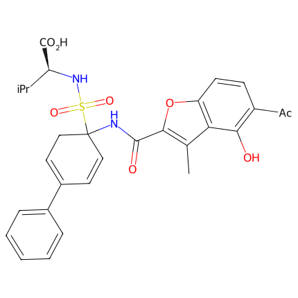 CC(=O)c1ccc2oc(C(=O)NC3(S(=O)(=O)N[C@H](C(=O)O)C(C)C)C=CC(c4ccccc4)=CC3)c(C)c2c1O